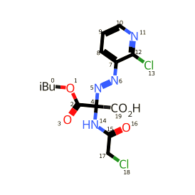 CCC(C)OC(=O)C(N=Nc1cccnc1Cl)(NC(=O)CCl)C(=O)O